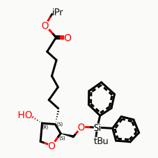 CC(C)OC(=O)CCCCCC[C@H]1[C@@H](O)CO[C@@H]1CO[Si](c1ccccc1)(c1ccccc1)C(C)(C)C